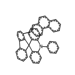 c1ccc(N2c3ccccc3C3(c4ccccc4-c4cccc(-c5ccc6c(ccc7ccccc76)c5)c43)c3ccccc32)cc1